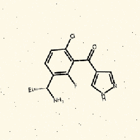 CC[C@@H](N)c1ccc(Cl)c(C(=O)c2cn[nH]c2)c1F